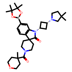 CC1(C)CCN([C@H]2C[C@@H](N3C(=O)C4(CCN(C(=O)C5(C)CCOCC5)CC4)c4ccc(B5OC(C)(C)C(C)(C)O5)cc43)C2)C1